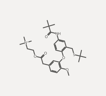 COc1ccc(CC(=O)OCC[N+](C)(C)C)cc1Oc1ccc(NC(=O)C(C)(C)C)cc1CSC(C)(C)C